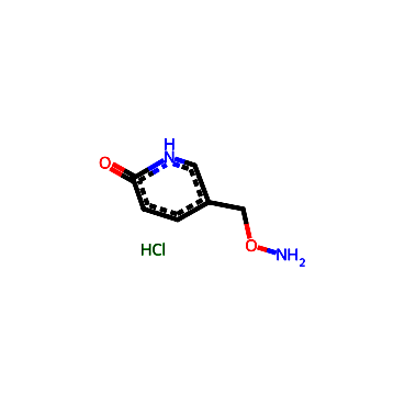 Cl.NOCc1ccc(=O)[nH]c1